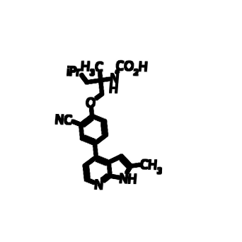 Cc1cc2c(-c3ccc(OCC(C)(CC(C)C)NC(=O)O)c(C#N)c3)ccnc2[nH]1